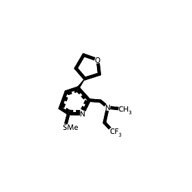 CSc1ccc([C@H]2CCOC2)c(CN(C)CC(F)(F)F)n1